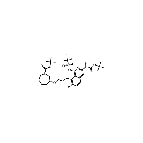 CC(C)(C)OC(=O)Nc1cc2ccc(F)c(CCCO[C@@H]3CCCCN(C(=O)OC(C)(C)C)C3)c2c(OS(=O)(=O)C(F)(F)F)n1